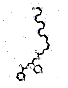 CC/C=C\C/C=C\C/C=C\C/C=C\C/C=C\C/C=C\CCC(=O)NCC(CNC(=O)c1cccnc1)N1CCNCC1